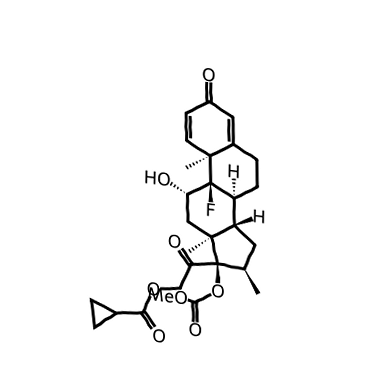 COC(=O)O[C@]1(C(=O)COC(=O)C2CC2)[C@H](C)C[C@H]2[C@@H]3CCC4=CC(=O)C=C[C@]4(C)[C@@]3(F)[C@@H](O)C[C@@]21C